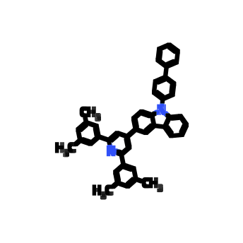 Cc1cc(C)cc(-c2cc(-c3ccc4c(c3)c3ccccc3n4-c3ccc(-c4ccccc4)cc3)cc(-c3cc(C)cc(C)c3)n2)c1